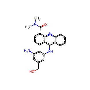 CN(C)C(=O)c1cccc2c(Nc3cc(N)cc(CO)c3)c3ccccc3nc12